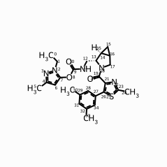 CCn1nc(C)cc1OC(=O)NC[C@@H]1[C@H]2CC2CN1C(=O)c1nc(C)sc1-c1cc(C)cc(C)c1